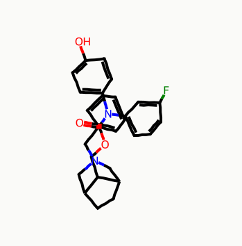 O=C(OCC1C2CCC1CN(Cc1ccccc1)C2)N(c1ccc(O)cc1)c1cccc(F)c1